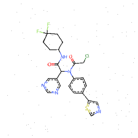 O=C(NC1CCC(F)(F)CC1)C(c1cncnc1)N(C(=O)CCl)c1ccc(-c2cncs2)cc1